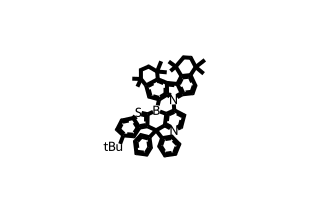 CC(C)(C)c1ccc2sc3c(c2c1)C(c1ccccc1)(c1ccccc1)c1nccc2c1B3c1cc3c(c4c5c6c(ccc5n-2c14)C(C)(C)CCC6(C)C)C(C)(C)CCC3(C)C